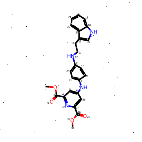 COC(=O)c1cc(Nc2ccc(NCCc3c[nH]c4ccccc34)cc2)cc(C(=O)OC)n1